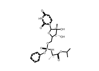 CC(C)OC(=O)[C@H](C)NP(=O)(OCC1OC(n2ccc(=O)[nH]c2=O)[C@](C)(O)[C@@H]1O)Oc1ccccc1